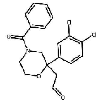 O=CCC1(c2ccc(Cl)c(Cl)c2)CN(C(=O)c2ccccc2)CCO1